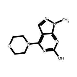 Cn1ncc2c(N3CCOCC3)nc(O)nc21